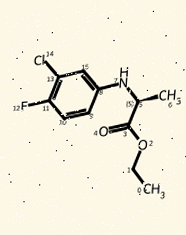 CCOC(=O)[C@H](C)Nc1ccc(F)c(Cl)c1